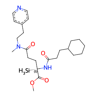 COC(=O)[C@@]([SiH3])(CCC(=O)N(C)CCc1ccncc1)NC(=O)CCC1CCCCC1